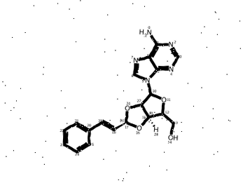 Nc1ncnc2c1ncn2C1OC(CO)[C@H]2O[C@@H](C=Cc3ccccc3)OC12